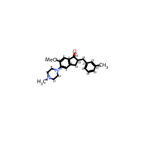 COc1cc2c(cc1N1CCN(C)CC1)CC(Cc1cccc(C)c1)C2=O